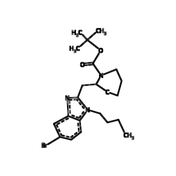 CCCCn1c(CC2CCCCN2C(=O)OC(C)(C)C)nc2cc(Br)ccc21